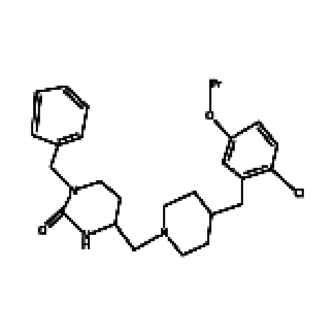 CC(C)Oc1ccc(Cl)c(CC2CCN(CC3CCN(Cc4ccccc4)C(=O)N3)CC2)c1